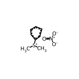 C[S+](C)c1ccccc1.O=[N+]([O-])[O-]